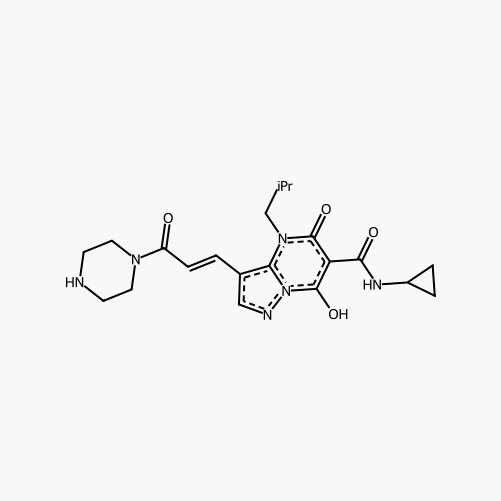 CC(C)Cn1c(=O)c(C(=O)NC2CC2)c(O)n2ncc(/C=C/C(=O)N3CCNCC3)c12